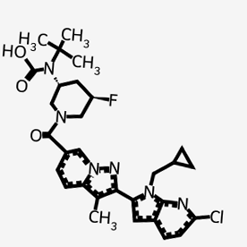 Cc1c(-c2cc3ccc(Cl)nc3n2CC2CC2)nn2cc(C(=O)N3C[C@H](F)C[C@@H](N(C(=O)O)C(C)(C)C)C3)ccc12